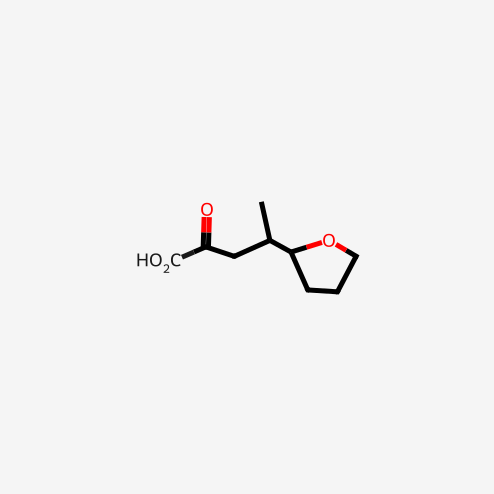 CC(CC(=O)C(=O)O)C1CCCO1